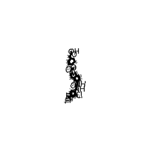 O=C(O)CC1CCC(OC(=O)N2CCc3cc(NC(=O)Nc4ccc(C(F)(F)F)cc4Cl)ccc3C2)CC1